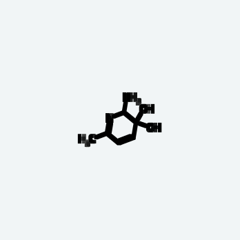 CC1=NC(N)C(O)(O)C=C1